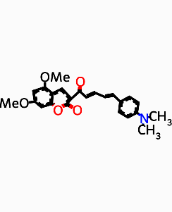 COc1cc(OC)c2cc(C(=O)C=C/C=C/c3ccc(N(C)C)cc3)c(=O)oc2c1